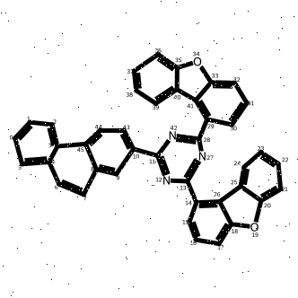 c1ccc2c(c1)ccc1cc(-c3nc(-c4cccc5oc6ccccc6c45)nc(-c4cccc5oc6ccccc6c45)n3)ccc12